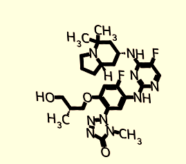 C[C@H](CO)COc1cc(F)c(Nc2ncc(F)c(N[C@@H]3C[C@@H]4CCCN4C(C)(C)C3)n2)cc1-n1nnc(=O)n1C